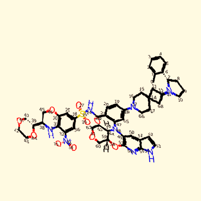 Cc1ccccc1[C@@H]1CCCN1C1CC2(CCN(c3ccc(C(=O)NS(=O)(=O)c4cc5c(c([N+](=O)[O-])c4)N[C@@H]([C@H]4COCCO4)CO5)c(N4c5cc6cc[nH]c6nc5O[C@@H]5COCC[C@H]54)c3)CC2)C1